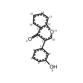 O=c1c(-c2cccc(O)c2)coc2ccccc12